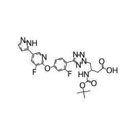 CC(C)(C)OC(=O)NC(CC(=O)O)Cn1nnc(-c2ccc(Oc3ncc(-c4ccn[nH]4)cc3F)cc2F)n1